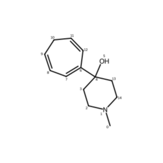 CN1CCC(O)(C2=CC=CCC=C2)CC1